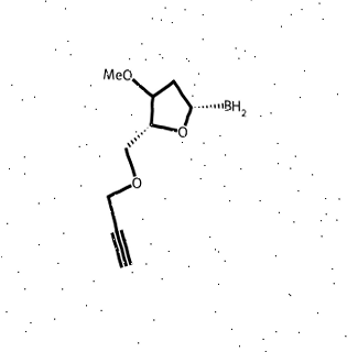 B[C@H]1CC(OC)[C@@H](COCC#C)O1